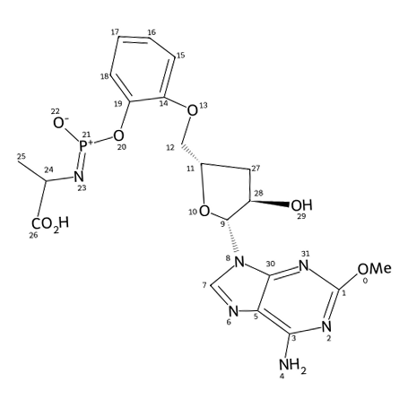 COc1nc(N)c2ncn([C@@H]3O[C@H](COc4ccccc4O/[P+]([O-])=N/C(C)C(=O)O)C[C@H]3O)c2n1